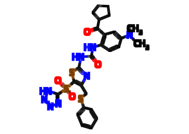 CN(C)c1ccc(NC(=O)Nc2nc(CSc3ccccc3)c(S(=O)(=O)c3nnn[nH]3)s2)c(C(=O)C2CCCC2)c1